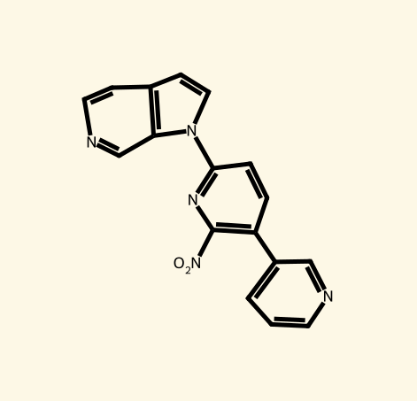 O=[N+]([O-])c1nc(-n2ccc3ccncc32)ccc1-c1cccnc1